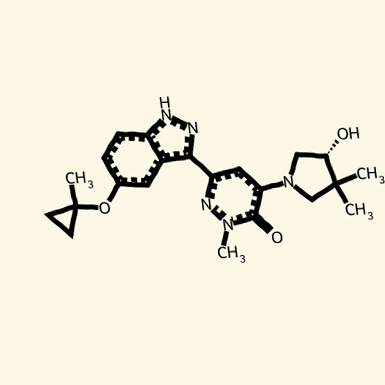 Cn1nc(-c2n[nH]c3ccc(OC4(C)CC4)cc23)cc(N2C[C@H](O)C(C)(C)C2)c1=O